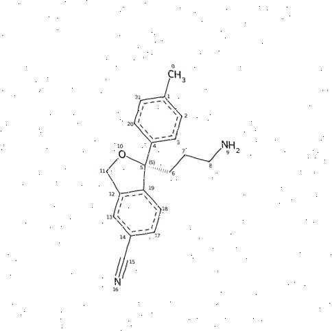 Cc1ccc([C@]2(CCCN)OCc3cc(C#N)ccc32)cc1